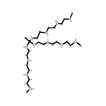 [CH2]C(OCCOCCOCCOC)(OCCOCCOCCOC)OCCOCCOCCOC